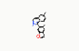 Cc1ccc2c(-c3cc4occc4cc3C)[n+](C)ccc2c1